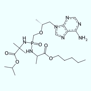 CCCCCOC(=O)C(C)NP(=O)(CO[C@H](C)Cn1cnc2c(N)ncnc21)NC(C)(C)C(=O)OC(C)C